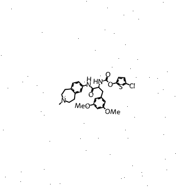 COc1cc(CC(NC(=O)Oc2ccc(Cl)s2)C(=O)Nc2ccc3c(c2)CCN(C)CC3)cc(OC)c1